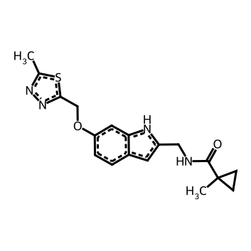 Cc1nnc(COc2ccc3cc(CNC(=O)C4(C)CC4)[nH]c3c2)s1